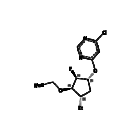 CC[C@H]1C[C@@H](Oc2cc(Cl)ncn2)[C@H](F)[C@@H]1OCOC